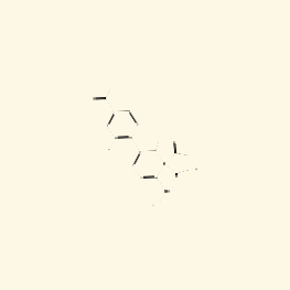 O=C(O)C1=CC=C(c2ccc(C(=O)O)cc2Cl)C(Cl)C1(C(=O)O)C(=O)O